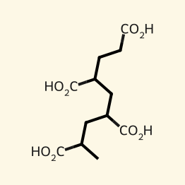 CC(CC(CC(CCC(=O)O)C(=O)O)C(=O)O)C(=O)O